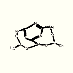 OB1ONc2nc3nc(n2)N(O1)OB(O)ON3